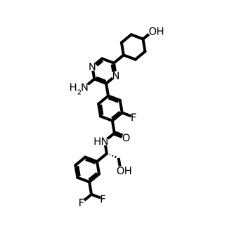 Nc1ncc(C2CCC(O)CC2)nc1-c1ccc(C(=O)N[C@H](CO)c2cccc(C(F)F)c2)c(F)c1